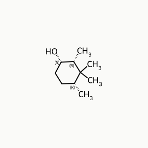 C[C@@H]1CC[C@H](O)[C@H](C)C1(C)C